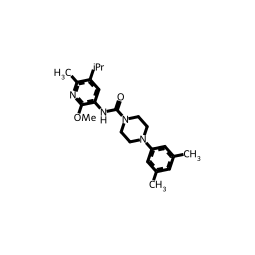 COc1nc(C)c(C(C)C)cc1NC(=O)N1CCN(c2cc(C)cc(C)c2)CC1